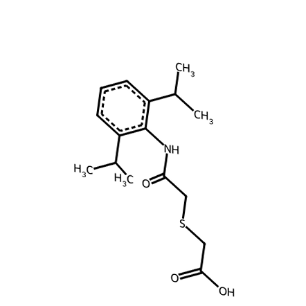 CC(C)c1cccc(C(C)C)c1NC(=O)CSCC(=O)O